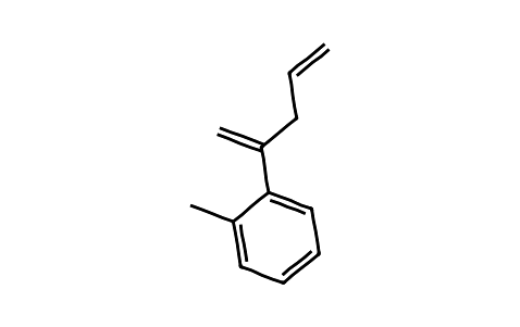 C=CCC(=C)c1ccccc1C